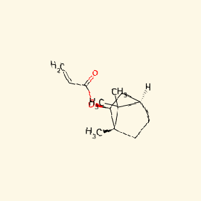 C=CC(=O)O[C@H]1C[C@H]2CC[C@@]1(C)C2(C)C